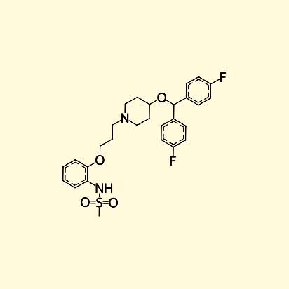 CS(=O)(=O)Nc1ccccc1OCCCN1CCC(OC(c2ccc(F)cc2)c2ccc(F)cc2)CC1